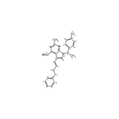 COc1nc(C)nc2c1c(C=COCc1ccccc1)nn2C(C)c1ccc(C(F)(F)F)cc1